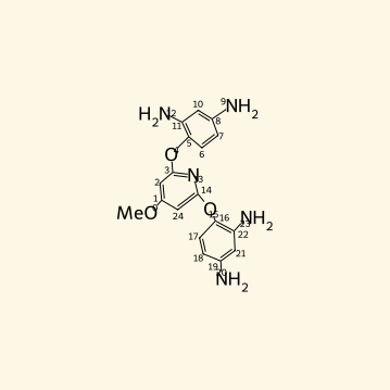 COc1cc(Oc2ccc(N)cc2N)nc(Oc2ccc(N)cc2N)c1